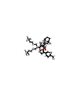 CC(C)(C)OC(=O)N1C2CC[C@@H]1CC(c1nc3c(-c4ccc(C=O)nc4)cnn3c(N(COCC[Si](C)(C)C)COCC[Si](C)(C)C)c1Br)C2